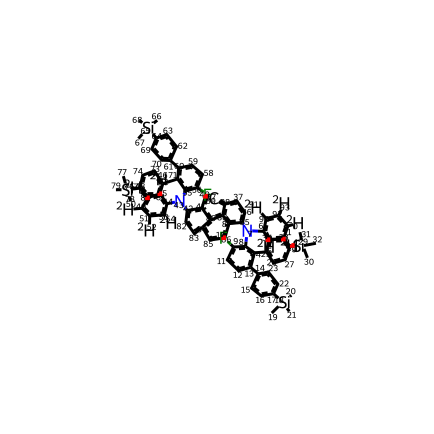 [2H]c1c([2H])c([2H])c(N(c2c(F)ccc(-c3ccc([Si](C)(C)C)cc3)c2-c2ccc([Si](C)(C)C)cc2)c2ccc3ccc4c(N(c5c([2H])c([2H])c([2H])c([2H])c5[2H])c5c(F)ccc(-c6ccc([Si](C)(C)C)cc6)c5-c5ccc([Si](C)(C)C)cc5)ccc5ccc2c3c54)c([2H])c1[2H]